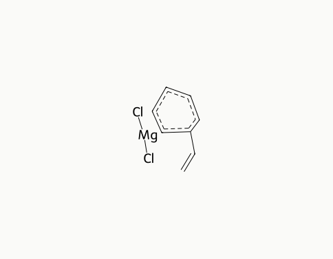 C=Cc1ccccc1.[Cl][Mg][Cl]